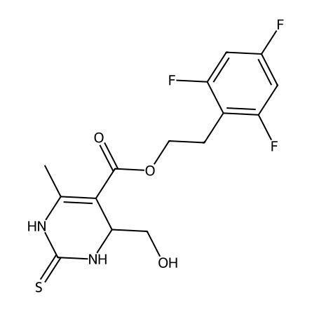 CC1=C(C(=O)OCCc2c(F)cc(F)cc2F)C(CO)NC(=S)N1